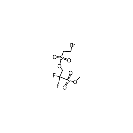 COS(=O)(=O)C(F)(F)COS(=O)(=O)CCBr